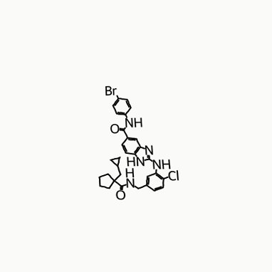 O=C(Nc1ccc(Br)cc1)c1ccc2[nH]c(Nc3cc(CNC(=O)C4(CC5CC5)CCCC4)ccc3Cl)nc2c1